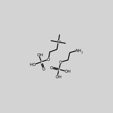 C[N+](C)(C)CCOP(=O)(O)O.NCCOP(=O)(O)O